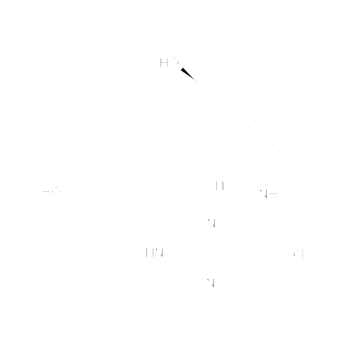 Oc1cccc(Nc2ncc(Cl)c(N[C@H]3C4CC5CC3C[C@@](O)(C5)C4)n2)c1